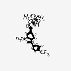 CN(C)S(=O)(=O)NC(=O)c1ccc2c(-c3ccc(C(F)(F)F)cc3)cn(C)c2c1